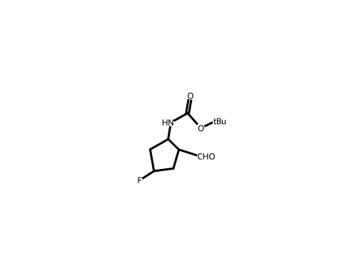 CC(C)(C)OC(=O)NC1CC(F)CC1C=O